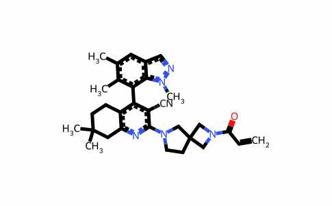 C=CC(=O)N1CC2(CCN(c3nc4c(c(-c5c(C)c(C)cc6cnn(C)c56)c3C#N)CCC(C)(C)C4)C2)C1